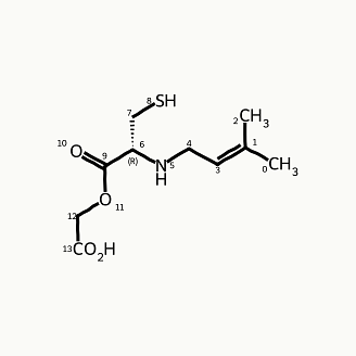 CC(C)=CCN[C@@H](CS)C(=O)OCC(=O)O